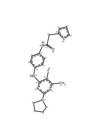 Cc1nc(N2CCCC2)nc(Nc2ccc(NC(=O)Cc3cccs3)cc2)c1F